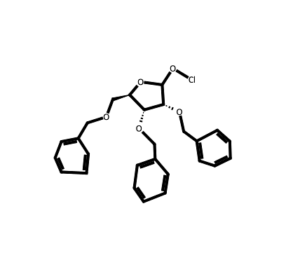 ClOC1O[C@H](COCc2ccccc2)[C@@H](OCc2ccccc2)[C@H]1OCc1ccccc1